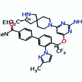 CCOC(=O)[C@@H]1CC2(CCN(c3cc(O[C@H](c4ccc(-c5ccc(C(=O)NC)cc5)cc4-n4ccc(C)n4)C(F)(F)F)nc(N)n3)CC2)CN1